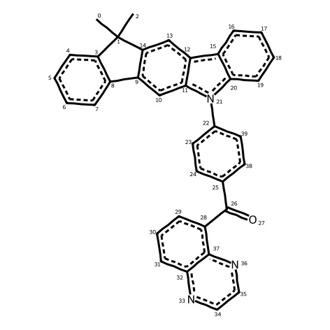 CC1(C)c2ccccc2-c2cc3c(cc21)c1ccccc1n3-c1ccc(C(=O)c2cccc3nccnc23)cc1